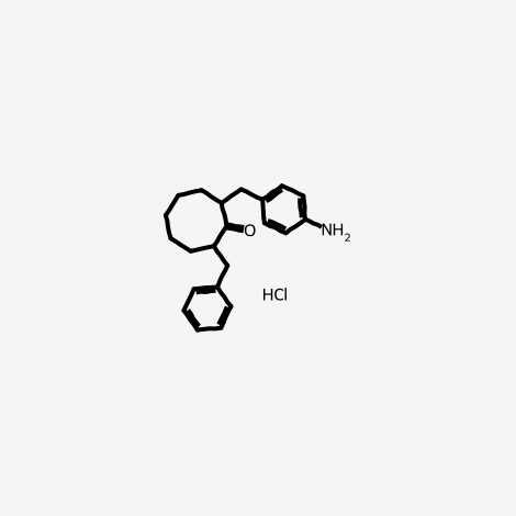 Cl.Nc1ccc(CC2CCCCCC(Cc3ccccc3)C2=O)cc1